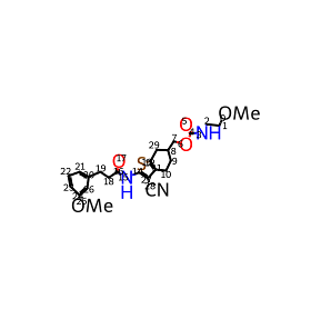 COCCNC(=O)OCC1CCc2c(sc(NC(=O)CCc3cccc(OC)c3)c2C#N)C1